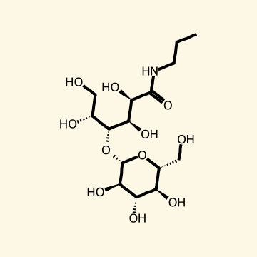 CCCNC(=O)[C@H](O)[C@@H](O)[C@H](O[C@@H]1O[C@H](CO)[C@@H](O)[C@H](O)[C@H]1O)[C@H](O)CO